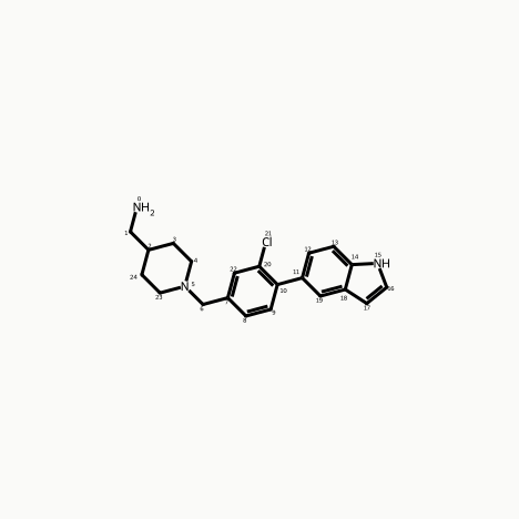 NCC1CCN(Cc2ccc(-c3ccc4[nH]ccc4c3)c(Cl)c2)CC1